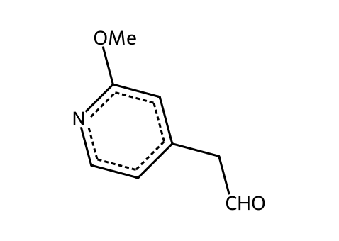 COc1cc(CC=O)ccn1